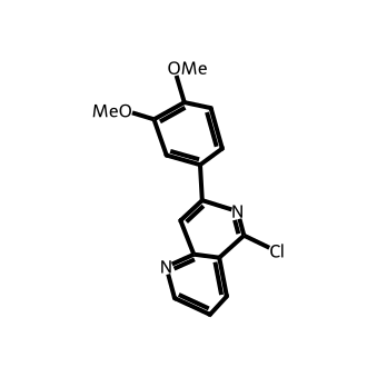 COc1ccc(-c2cc3ncccc3c(Cl)n2)cc1OC